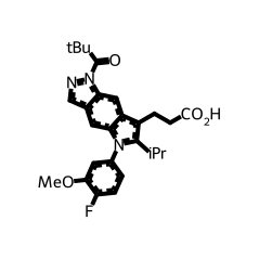 COc1cc(-n2c(C(C)C)c(CCC(=O)O)c3cc4c(cnn4C(=O)C(C)(C)C)cc32)ccc1F